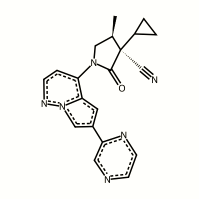 C[C@@H]1CN(c2ccnn3cc(-c4cnccn4)cc23)C(=O)[C@]1(C#N)C1CC1